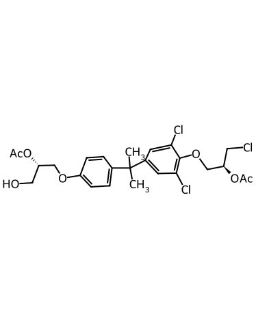 CC(=O)O[C@H](CCl)COc1c(Cl)cc(C(C)(C)c2ccc(OC[C@H](CO)OC(C)=O)cc2)cc1Cl